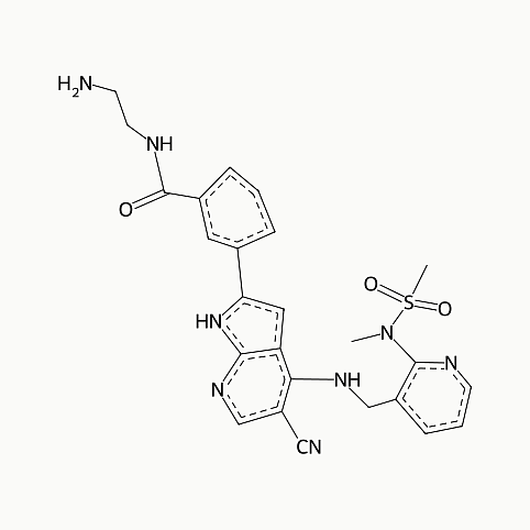 CN(c1ncccc1CNc1c(C#N)cnc2[nH]c(-c3cccc(C(=O)NCCN)c3)cc12)S(C)(=O)=O